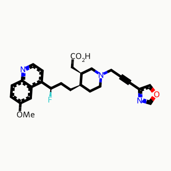 COc1ccc2nccc([C@H](F)CC[C@@H]3CCN(CC#Cc4cocn4)C[C@@H]3CC(=O)O)c2c1